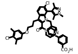 Cc1cc(OCCCc2c(C(=O)N3CCN(c4cccc(C(=O)O)c4)CC3)n(Cc3cccnc3)c3c(-c4c(C)nn(C)c4C)c(Cl)ccc23)cc(C)c1Cl